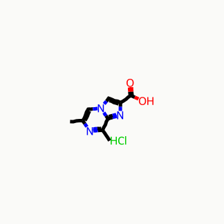 Cc1cn2cc(C(=O)O)nc2c(C)n1.Cl